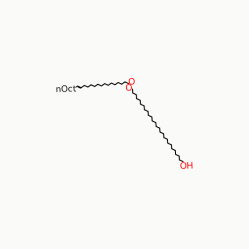 CCCCCCCCC=CCCCCCCCCCCCCCC(=O)OCCCCCCCCCCCCCCCCCCCCCCCCCCCO